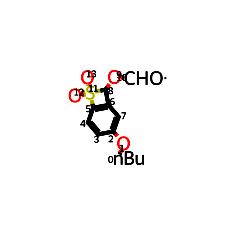 CCCCOc1ccc2c(c1)C(O[C]=O)S2(=O)=O